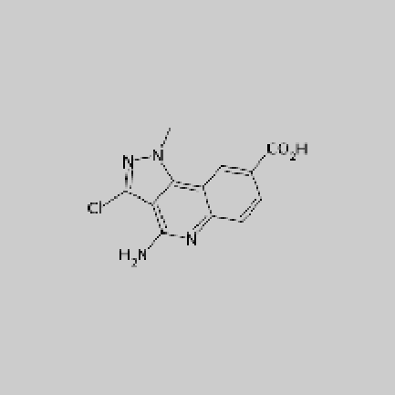 Cn1nc(Cl)c2c(N)nc3ccc(C(=O)O)cc3c21